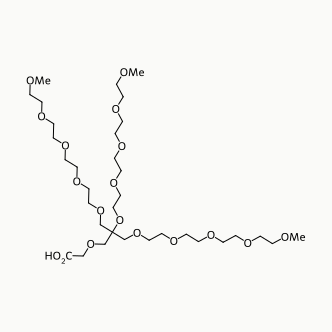 COCCOCCOCCOCCOCC(COCCOCCOCCOCCOC)(COCC(=O)O)OCCOCCOCCOCCOC